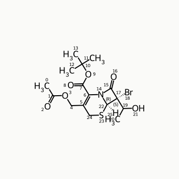 CC(=O)OCC1=C(C(=O)OC(C)(C)C)N2C(=O)[C@@](Br)(C(C)O)[C@H]2SC1